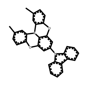 Cc1ccc2c(c1)B1c3cc(C)ccc3Oc3cc(-n4c5ccccc5c5ccccc54)cc(c31)O2